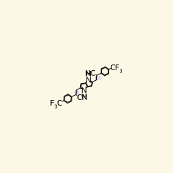 N#C/C(=C\c1cc2[nH]c(/C=C(\C#N)c3ccc(C(F)(F)F)cc3)cc2[nH]1)c1ccc(C(F)(F)F)cc1